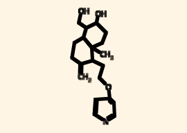 C=C1CCC2C(CO)C(O)CCC2(C)C1CCOc1ccncc1